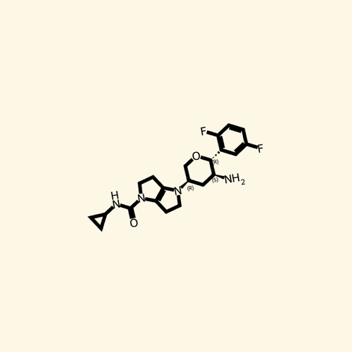 N[C@H]1C[C@@H](N2CCC3=C2CCN3C(=O)NC2CC2)CO[C@@H]1c1cc(F)ccc1F